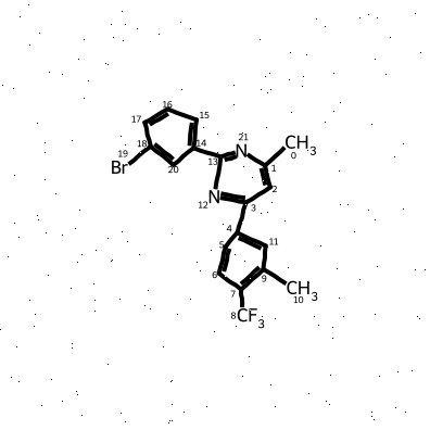 Cc1cc(-c2ccc(C(F)(F)F)c(C)c2)nc(-c2cccc(Br)c2)n1